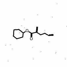 C=CCCC(=C)C(=O)OC1CCCCC1